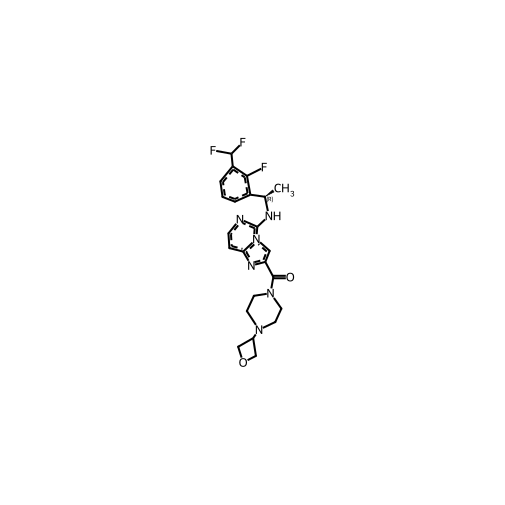 C[C@@H](Nc1nccc2nc(C(=O)N3CCN(C4COC4)CC3)cn12)c1cccc(C(F)F)c1F